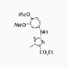 CCOC(=O)c1nc(Nc2ccc(OC)c(OC)c2)sc1C